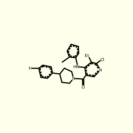 CCc1c(Cl)ncc(C(=O)N2CCC(c3ccc(F)cc3)CC2)c1Nc1ccccc1C